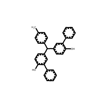 Cc1ccc(C(c2ccc(O)c(-c3ccccc3)c2)c2ccc(O)c(-c3ccccc3)c2)cc1